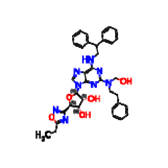 CCc1nc([C@H]2O[C@@H](n3cnc4c(NCC(c5ccccc5)c5ccccc5)nc(N(CO)CCc5ccccc5)nc43)[C@H](O)[C@@H]2O)no1